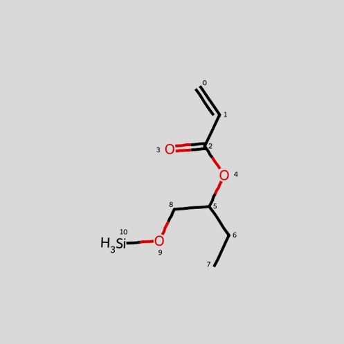 C=CC(=O)OC(CC)CO[SiH3]